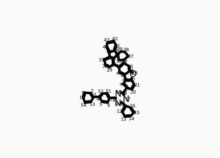 c1ccc(-c2ccc(-c3nc(-c4ccccc4)nc(-c4ccc5oc6ccc(-c7cccc8c7C7(CCCCC7)c7ccccc7-8)cc6c5c4)n3)cc2)cc1